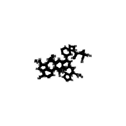 C[C@H](Oc1nc(N2CCCC3(CCN3C(=O)C3CC3(F)F)C2)c2cc(Cl)c(-c3ccc(F)c4sc(N)c(C#N)c34)c(F)c2n1)C1CCCN1C